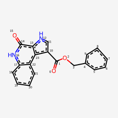 O=C(OCc1ccccc1)c1c[nH]c2c(=O)[nH]c3ccccc3c12